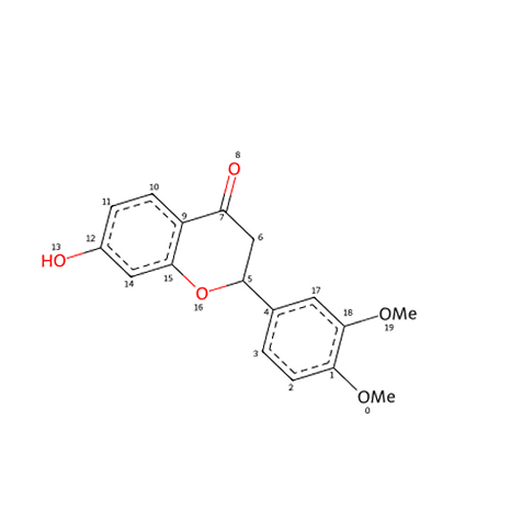 COc1ccc(C2CC(=O)c3ccc(O)cc3O2)cc1OC